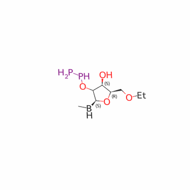 CB[C@@H]1O[C@H](COCC)[C@H](O)C1OPP